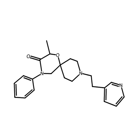 CC1OC2(CCN(CCc3cccnc3)CC2)CN(c2ccccc2)C1=O